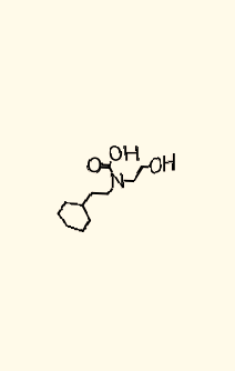 O=C(O)N(CCO)CCC1CCCCC1